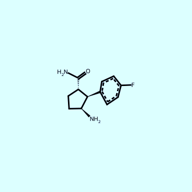 NC(=O)[C@H]1CC[C@H](N)[C@@H]1c1ccc(F)cc1